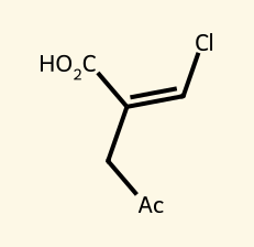 CC(=O)CC(=CCl)C(=O)O